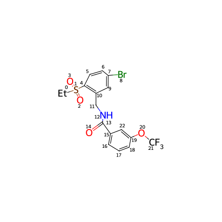 CCS(=O)(=O)c1ccc(Br)cc1CNC(=O)c1cccc(OC(F)(F)F)c1